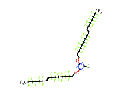 FC(F)(F)C(F)(F)C(F)(F)C(F)(F)C(F)(F)C(F)(F)/C=C/C(F)(F)C(F)(F)C(F)(F)C(F)(F)C(F)(F)C(F)(F)CCOc1nc(Cl)nc(OCCC(F)(F)C(F)(F)C(F)(F)C(F)(F)C(F)(F)C(F)(F)/C=C/C(F)(F)C(F)(F)C(F)(F)C(F)(F)C(F)(F)C(F)(F)F)n1